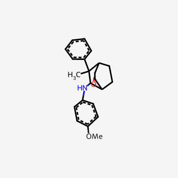 COc1ccc(NC2C3CCC(CC3=O)C2(C)c2ccccc2)cc1